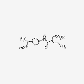 C=CCN(CC(=O)OCC)C(=O)Nc1ccc(C(C)=NO)cc1